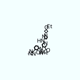 CCO[C@H]1C[C@@H](n2ccc(Nc3cc(Nc4cccc(-c5ncn(C)n5)c4OC)c(C(=O)CC)cn3)n2)C1